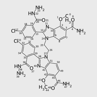 COc1c(C(N)=O)ccc2c1nc(-c1ccc(Cl)cc1C(=O)NN)n2CCn1c(-c2ccc(Cl)cc2C(=O)NN)nc2c(OC)c(C(N)=O)ccc21